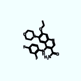 CCOc1cc2ncc(C(N)=O)c(Nc3ccc(F)cc3F)c2cc1N1CCOCC1